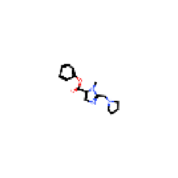 Cn1c(C(=O)Oc2ccccc2)cnc1CN1CCCC1